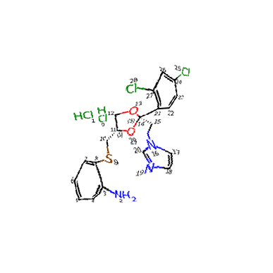 Cl.Cl.Nc1ccccc1SC[C@@H]1CO[C@@](Cn2ccnc2)(c2ccc(Cl)cc2Cl)O1